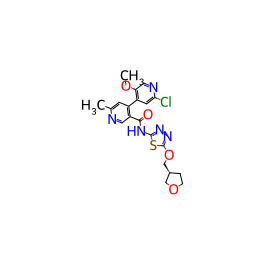 COc1cnc(Cl)cc1-c1cc(C)ncc1C(=O)Nc1nnc(OC[C@H]2CCOC2)s1